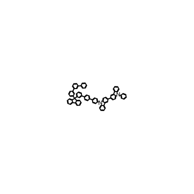 c1ccc(-c2cccc(-c3cccc(C4(c5cccc(-c6ccc(-c7ccc(-n8c9ccccc9c9cc(-c%10ccc%11c(c%10)c%10ccccc%10n%11-c%10ccccc%10)ccc98)cc7)cc6)c5)c5ccccc5-c5ccccc54)c3)c2)cc1